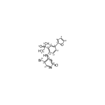 CP(C)(=O)c1cc(-c2ccco2)ccc1Nc1nc(Cl)ncc1Br